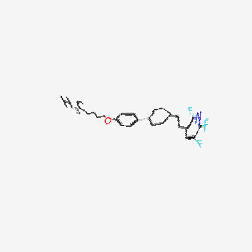 CCCCCOc1ccc([C@H]2CC[C@H](CCc3cc(F)c(F)nc3F)CC2)cc1